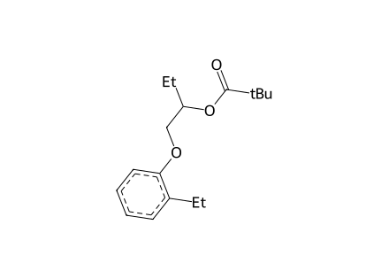 CCc1ccccc1OCC(CC)OC(=O)C(C)(C)C